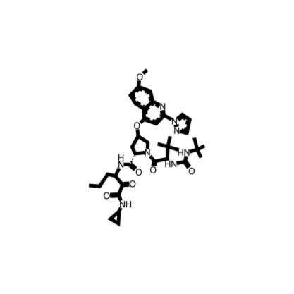 CCCC(NC(=O)[C@@H]1CC(Oc2cc(-n3cccn3)nc3cc(OC)ccc23)CN1C(=O)[C@@H](NC(=O)NC(C)(C)C)C(C)(C)C)C(=O)C(=O)NC1CC1